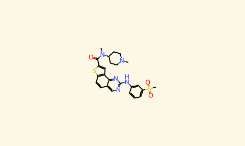 CN1CCC(N(C)C(=O)c2cc3c(ccc4cnc(Nc5cccc(S(C)(=O)=O)c5)nc43)s2)CC1